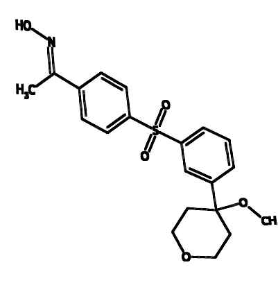 COC1(c2cccc(S(=O)(=O)c3ccc(/C(C)=N/O)cc3)c2)CCOCC1